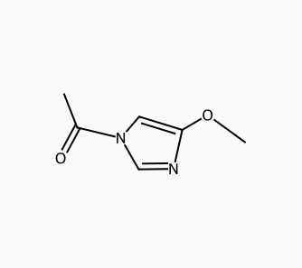 COc1cn(C(C)=O)cn1